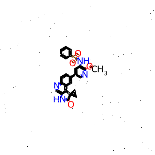 COc1ncc(-c2ccc3ncc4c(c3c2)C2(CC2)C(=O)N4)cc1NS(=O)(=O)c1ccccc1